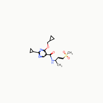 CC(C=CS(C)(=O)=O)NC(=O)c1cnc(C2CC2)nc1OCC1CC1